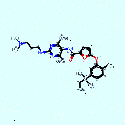 COc1nc(NCCCN(C)C)nc(OC)c1NC(=O)c1ccc(Oc2cc([Si](C)(C)CC(C)(C)C)ccc2C)o1